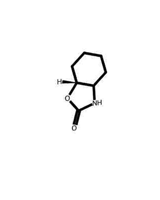 O=C1NC2CCCC[C@H]2O1